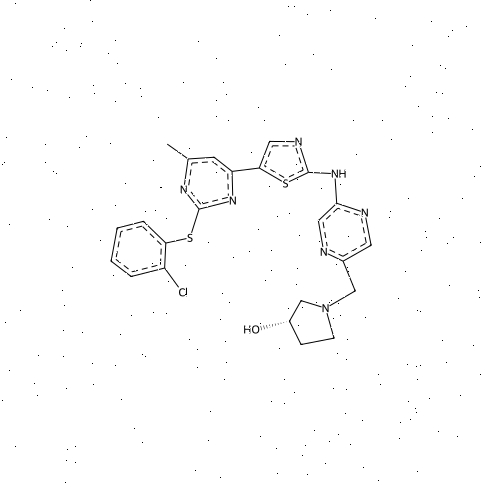 Cc1cc(-c2cnc(Nc3cnc(CN4CC[C@H](O)C4)cn3)s2)nc(Sc2ccccc2Cl)n1